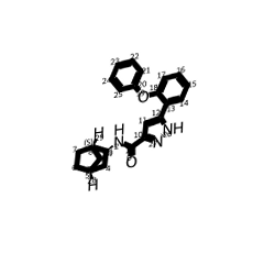 O=C(N[C@@H]1C[C@@H]2CC[C@H]1C2)c1cc(-c2ccccc2Oc2ccccc2)[nH]n1